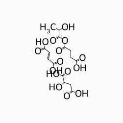 CC(O)C(=O)OC(=O)CCC(=O)O.O=C(O)/C=C/C(=O)O.O=C(O)CC(O)C(=O)O